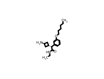 CCCCCCOc1cccc(C(C(=O)NCC)[C@H]2C[C@H](N)C2)c1